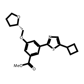 COC(=O)c1cc(OC[C@@H]2CCCO2)cc(-c2ncc(C3CCC3)s2)c1